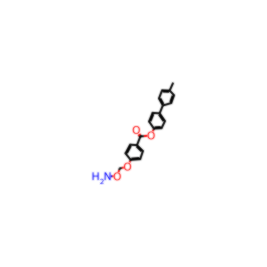 Cc1ccc(-c2ccc(OC(=O)c3ccc(OCON)cc3)cc2)cc1